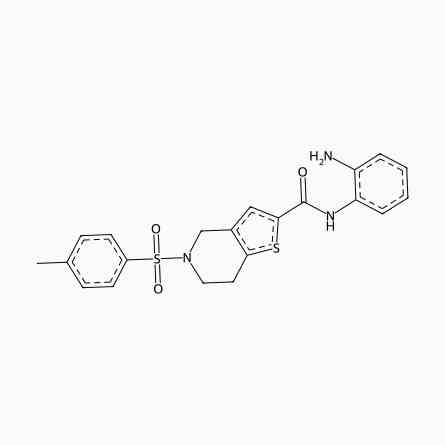 Cc1ccc(S(=O)(=O)N2CCc3sc(C(=O)Nc4ccccc4N)cc3C2)cc1